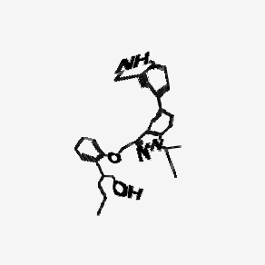 CCCC(CO)c1ccccc1OCc1nn(C(C)C)c2ccc(-c3cccc(CN)c3)cc12